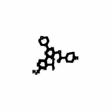 Nc1ncc(-c2nc(OC(=O)C3CCNCC3)nc(N3CCOCC3)n2)c(C(F)F)n1